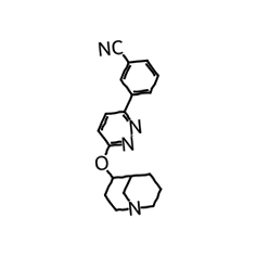 N#Cc1cccc(-c2ccc(OC3CCN4CCCC3C4)nn2)c1